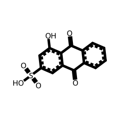 O=C1c2ccccc2C(=O)c2c(O)cc(S(=O)(=O)O)cc21